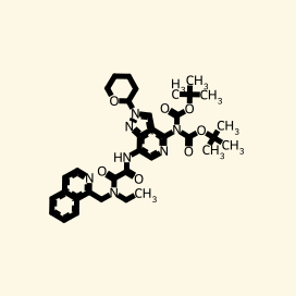 CCN(Cc1nccc2ccccc12)C(=O)C(=O)Nc1cnc(N(C(=O)OC(C)(C)C)C(=O)OC(C)(C)C)c2cn(C3CCCCO3)nc12